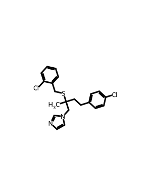 CC(CCc1ccc(Cl)cc1)(Cn1ccnc1)SCc1ccccc1Cl